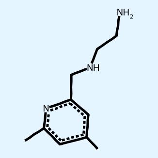 Cc1cc(C)nc(CNCCN)c1